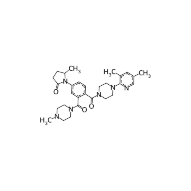 Cc1cnc(N2CCN(C(=O)c3ccc(N4C(=O)CCC4C)cc3C(=O)N3CCN(C)CC3)CC2)c(C)c1